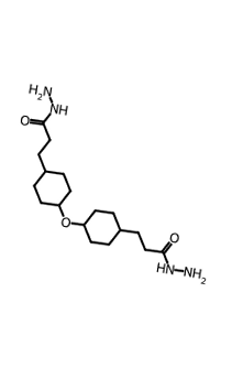 NNC(=O)CCC1CCC(OC2CCC(CCC(=O)NN)CC2)CC1